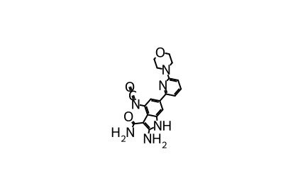 NC(=O)c1c(N)[nH]c2cc(-c3cccc(N4CCOCC4)n3)cc(N=C=O)c12